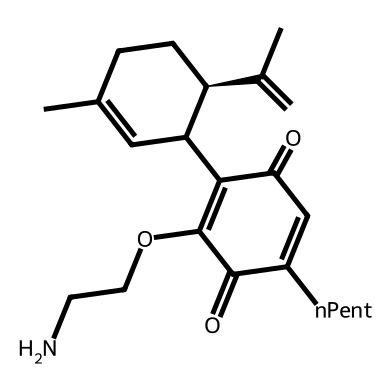 C=C(C)[C@@H]1CCC(C)=CC1C1=C(OCCN)C(=O)C(CCCCC)=CC1=O